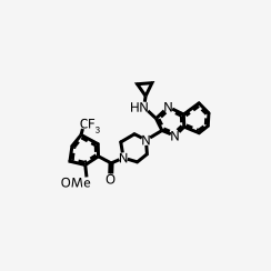 COc1ccc(C(F)(F)F)cc1C(=O)N1CCN(c2nc3ccccc3nc2NC2CC2)CC1